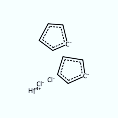 [Cl-].[Cl-].[Hf+4].c1cc[cH-]c1.c1cc[cH-]c1